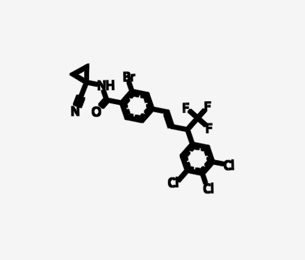 N#CC1(NC(=O)c2ccc(C=CC(c3cc(Cl)c(Cl)c(Cl)c3)C(F)(F)F)cc2Br)CC1